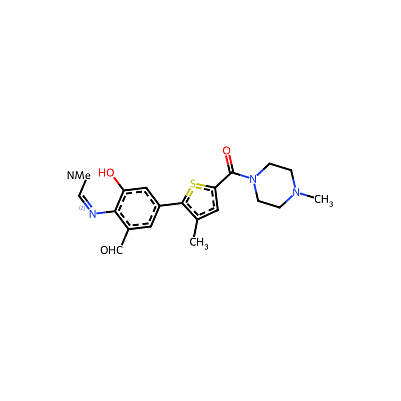 CN/C=N\c1c(O)cc(-c2sc(C(=O)N3CCN(C)CC3)cc2C)cc1C=O